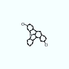 Clc1ccc2cc3c4ccc(Cl)cc4n4c5ccccc5c(c2c1)c34